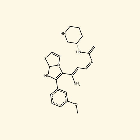 C=C(/N=C\C=C(/N)C1=C(c2cccc(OC)c2)NC2SC=CN12)N[C@H]1CCCNC1